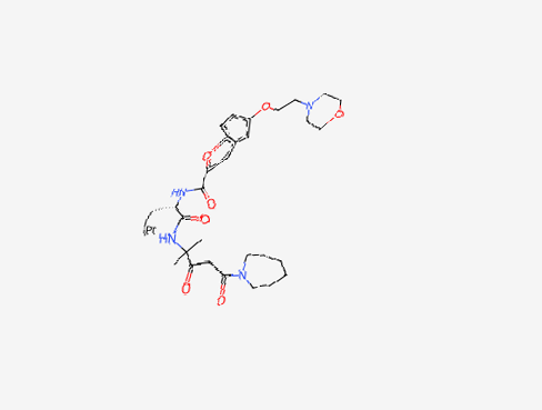 CC(C)C[C@H](NC(=O)c1cc2cc(OCCN3CCOCC3)ccc2o1)C(=O)NC(C)(C)C(=O)CC(=O)N1CCCCCC1